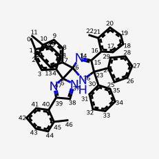 Cc1ccc(C2(C3(c4ccc(C)cc4)N=C(c4ccccc4C)C(c4ccccc4)(c4ccccc4)N3)N=CC(c3ccccc3C)=N2)cc1